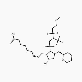 CCCCC(F)(F)[C@H](CC(C)(C)[C@H]1[C@@H](C/C=C\CCCCCC(=O)O)[C@@H](O)C[C@H]1O[C@H]1CCCCO1)C(C)(C)C